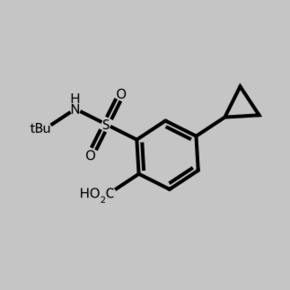 CC(C)(C)NS(=O)(=O)c1cc(C2CC2)ccc1C(=O)O